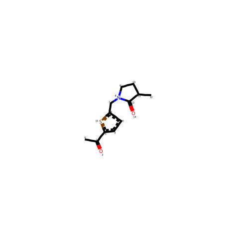 CC(=O)c1ccc(CN2CCC(C)C2=O)s1